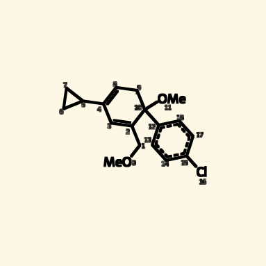 COCC1=CC(C2CC2)=C[CH]C1(OC)c1ccc(Cl)cc1